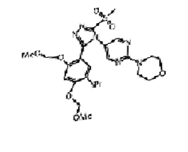 COCOc1cc(OCOC)c(C(C)C)cc1-c1nnc(S(C)(=O)=O)n1-c1cnc(N2CCOCC2)nc1